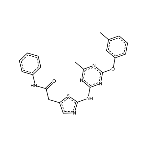 Cc1cccc(Oc2nc(C)nc(Nc3ncc(CC(=O)Nc4ccccc4)s3)n2)c1